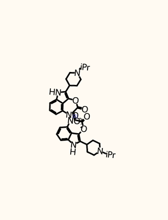 CC(C)N1CCC(c2[nH]c3cccc([N+](=O)[O-])c3c2OC(=O)/C=C\C(=O)Oc2c(C3CCN(C(C)C)CC3)[nH]c3cccc([N+](=O)[O-])c23)CC1